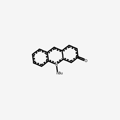 CCCCn1c2cc(=O)ccc-2cc2ccccc21